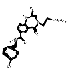 CCOC(=O)CCN1CC(=O)Nc2ccc(C(=O)Nc3ccc(C#N)cc3)cc2C1=O